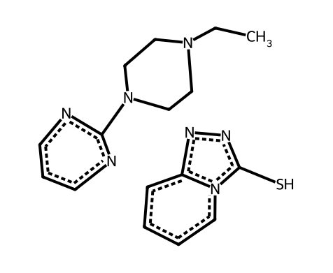 CCN1CCN(c2ncccn2)CC1.Sc1nnc2ccccn12